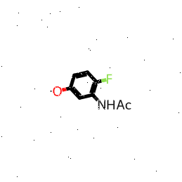 CC(=O)Nc1cc([O])ccc1F